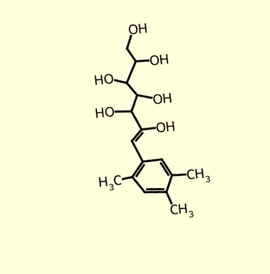 Cc1cc(C)c(C=C(O)C(O)C(O)C(O)C(O)CO)cc1C